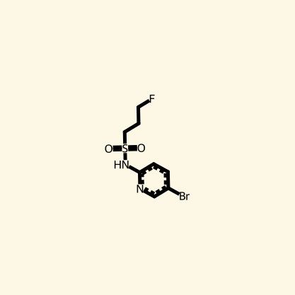 O=S(=O)(CCCF)Nc1ccc(Br)cn1